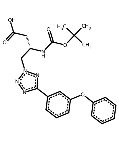 CC(C)(C)OC(=O)N[C@@H](CC(=O)O)Cn1nnc(-c2cccc(Oc3ccccc3)c2)n1